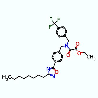 CCCCCCCCc1noc(-c2ccc(CN(Cc3ccc(C(F)(F)F)cc3)C(=O)C(=O)OCC)cc2)n1